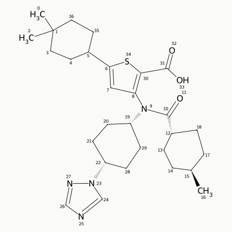 CC1(C)CCC(c2cc(N(C(=O)[C@H]3CC[C@H](C)CC3)[C@H]3CC[C@@H](n4cncn4)CC3)c(C(=O)O)s2)CC1